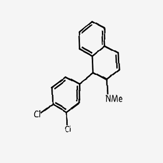 CNC1C=Cc2ccccc2C1c1ccc(Cl)c(Cl)c1